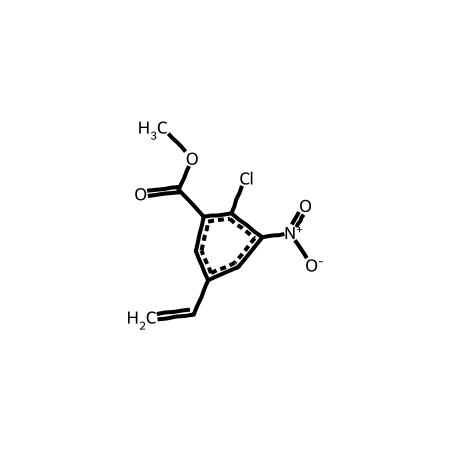 C=Cc1cc(C(=O)OC)c(Cl)c([N+](=O)[O-])c1